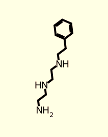 NCCNCCNCCc1ccccc1